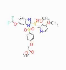 COc1ccnc(C[S+]([O-])c2nc3ccc(OC(F)F)cc3n2S(=O)(=O)c2ccc(OCC(=O)[O-])cc2)c1OC.[Na+]